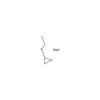 CCOC1CO1.[NaH]